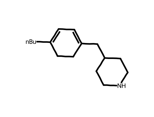 CCCCC1=CC=C(CC2CCNCC2)CC1